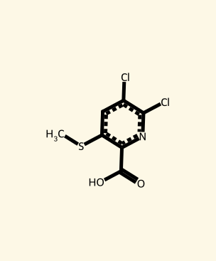 CSc1cc(Cl)c(Cl)nc1C(=O)O